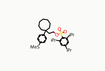 CSc1ccc(C2(CCOS(=O)(=O)c3c(C(C)C)cc(C(C)C)cc3C(C)C)CCCCCCC2)cc1